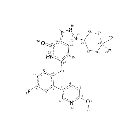 COc1ccc(-c2cc(F)ccc2Cc2nc3c(cnn3C3CCC(C)(F)CC3)c(=O)[nH]2)cn1